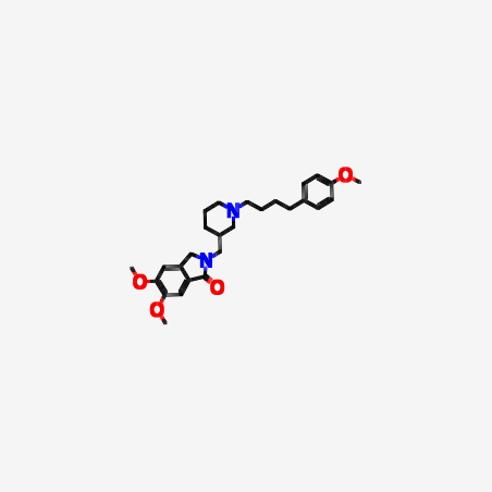 COc1ccc(CCCCN2CCCC(CN3Cc4cc(OC)c(OC)cc4C3=O)C2)cc1